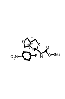 CC(C)(C)OC(=O)NC1=N[C@@]2(c3cc([N+](=O)[O-])ccc3F)COC[C@H]2CS1